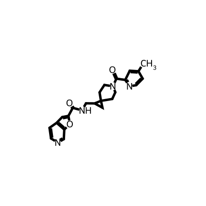 Cc1ccnc(C(=O)N2CCC3(CC2)CC3CNC(=O)c2cc3ccncc3o2)c1